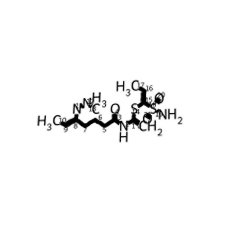 C=C(NC(=O)CCCC(=C/C)/N=N\C)S/C(=C\C)S(N)(=O)=O